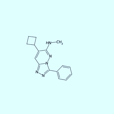 CNc1nn2c(-c3ccccc3)nnc2cc1C1CCC1